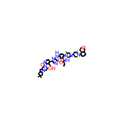 C=CC(=O)Nc1cc(Nc2nc(-c3ccnc(N4CCn5c(cc6c5CC(C)(C)C6)C4=O)c3CO)cn(C)c2=O)ccc1N1CCN(C2CCN(c3cccc4c3CCOC4)[C@@H](C)C2)C[C@@H]1C